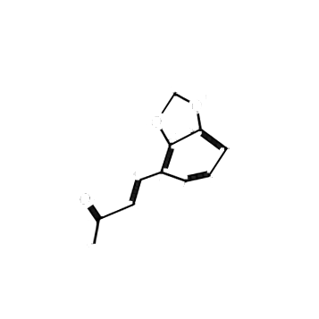 CC(=O)/C=C/c1cccc2c1OCO2